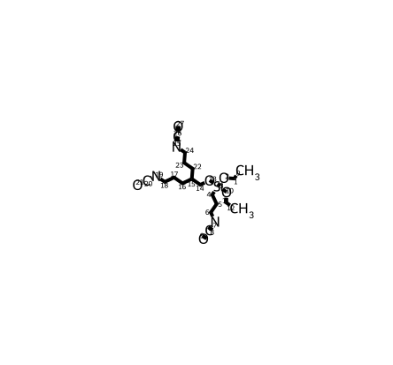 CCO[Si](CCCN=C=O)(OCC)OCC(CCCN=C=O)CCCN=C=O